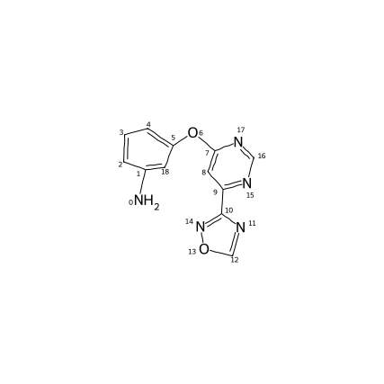 Nc1cccc(Oc2cc(-c3ncon3)ncn2)c1